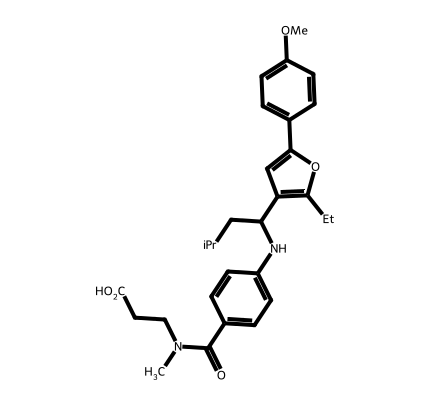 CCc1oc(-c2ccc(OC)cc2)cc1C(CC(C)C)Nc1ccc(C(=O)N(C)CCC(=O)O)cc1